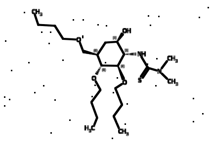 CCCCOC[C@H]1C[C@@H](O)[C@H](NC(=S)N(C)C)[C@@H](OCCCC)[C@@H]1OCCCC